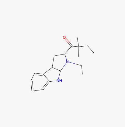 CCN1C(C(=O)C(C)(C)CC)CC2c3ccccc3NC21